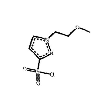 COCCn1ccc(S(=O)(=O)Cl)n1